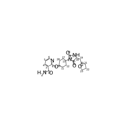 NC(=O)c1cccnc1O[C@H]1CC[C@H](N2C(=O)NC(CC3CCCO3)C2=O)CC1